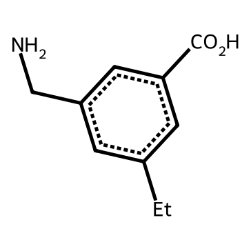 CCc1cc(CN)cc(C(=O)O)c1